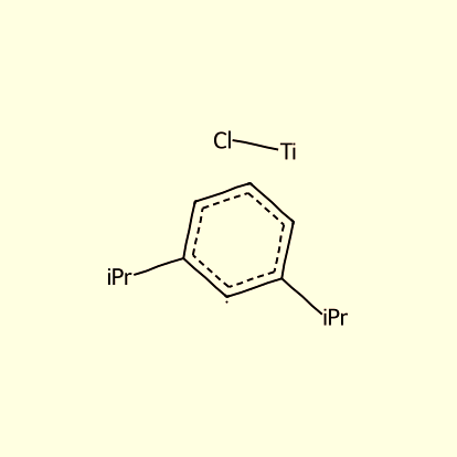 CC(C)c1[c]c(C(C)C)ccc1.[Cl][Ti]